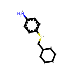 Nc1ccc(SCC2CCCCC2)cc1